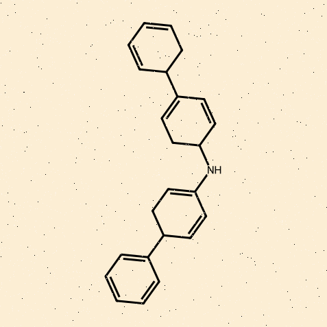 C1=CCC(C2=CCC(NC3=CCC(c4ccccc4)C=C3)C=C2)C=C1